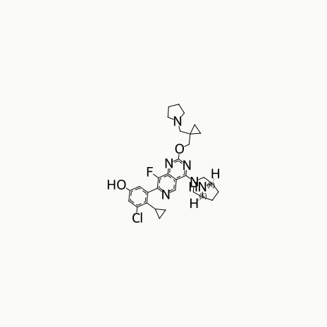 Oc1cc(Cl)c(C2CC2)c(-c2ncc3c(N4C[C@H]5CC[C@@H](C4)N5)nc(OCC4(CN5CCCC5)CC4)nc3c2F)c1